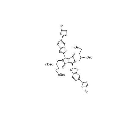 CCCCCCCCCCCCC(CCCCCCCCCC)CN1C(=O)C2=C(c3nc4ccc(-c5ccc(Br)s5)cc4s3)N(CC(CCCCCCCCCC)CCCCCCCCCCCC)C(=O)C2=C1c1nc2ccc(-c3ccc(Br)s3)cc2s1